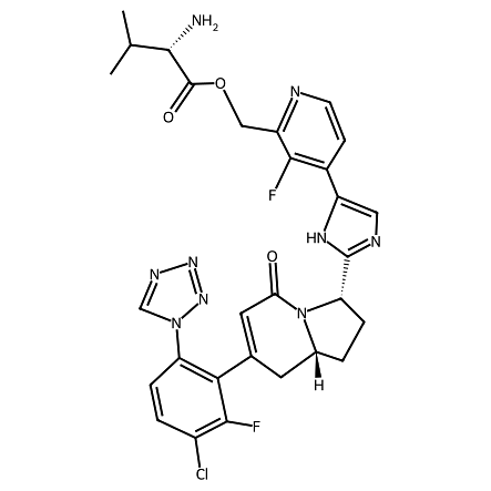 CC(C)[C@H](N)C(=O)OCc1nccc(-c2cnc([C@@H]3CC[C@@H]4CC(c5c(-n6cnnn6)ccc(Cl)c5F)=CC(=O)N43)[nH]2)c1F